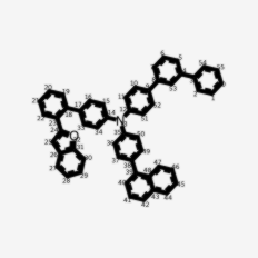 c1ccc(-c2cccc(-c3ccc(N(c4ccc(-c5ccccc5-c5cc6ccccc6o5)cc4)c4ccc(-c5cccc6ccccc56)cc4)cc3)c2)cc1